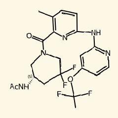 CC(=O)N[C@@H]1CN(C(=O)c2nc(Nc3cc(OC(C)(F)F)ccn3)ccc2C)CC(F)(F)C1